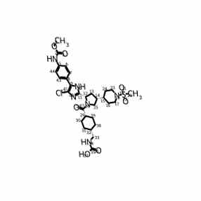 COC(=O)Nc1ccc(-c2[nH]c([C@@H]3C[C@H](C4CCN(S(C)(=O)=O)CC4)CN3C(=O)[C@H]3CC[C@@H](CNC(=O)O)CC3)nc2Cl)cc1